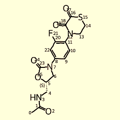 CC(=O)NC[C@H]1CN(c2ccc(N3CCSC(=O)C3=O)c(F)c2)C(=O)O1